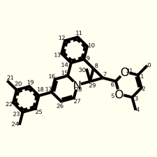 CC1=CC(C)OC(C2C3c4ccccc4C4C=C(c5cc(C)cc(C)c5)C=CN4C32C)O1